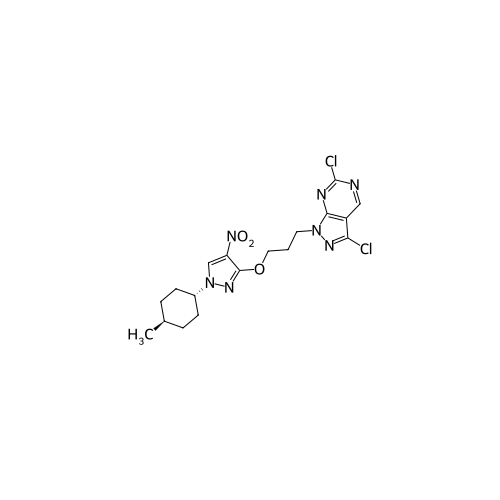 C[C@H]1CC[C@H](n2cc([N+](=O)[O-])c(OCCCn3nc(Cl)c4cnc(Cl)nc43)n2)CC1